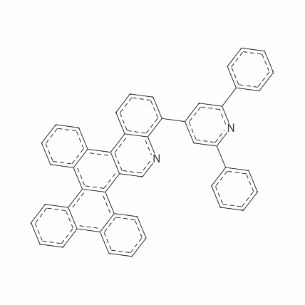 c1ccc(-c2cc(-c3cccc4c3ncc3c4c4ccccc4c4c5ccccc5c5ccccc5c34)cc(-c3ccccc3)n2)cc1